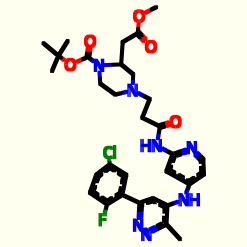 COC(=O)CC1CN(CCC(=O)Nc2cc(Nc3cc(-c4cc(Cl)ccc4F)nnc3C)ccn2)CCN1C(=O)OC(C)(C)C